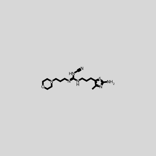 Cc1nc(N)sc1CCCNC(=NCCCN1CCOCC1)NC#N